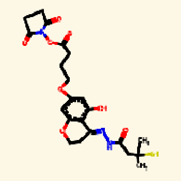 CC(C)(S)CC(=O)NN=C1CCOc2cc(OCCCC(=O)ON3C(=O)CCC3=O)cc(O)c21